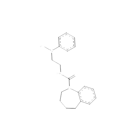 CC(C)N(CCNC(=O)N1CCCCc2ccccc21)c1ccccc1